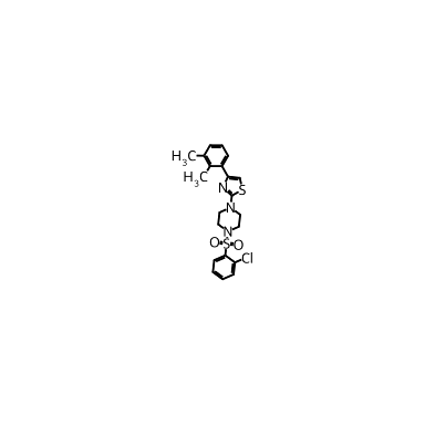 Cc1cccc(-c2csc(N3CCN(S(=O)(=O)c4ccccc4Cl)CC3)n2)c1C